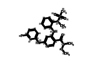 CON(C)C(=O)c1cnc(Nc2cccc(F)n2)cc1Nc1ccccc1N(C)S(C)(=O)=O